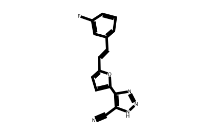 N#Cc1[nH]nnc1-c1ccc(/C=C/c2cccc(F)c2)o1